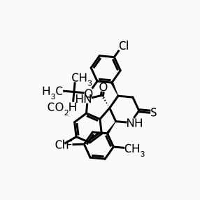 Cc1ccc(F)cc1[C@@H]1NC(=S)C[C@H](c2cc(Cl)ccc2OC(C)(C)C(=O)O)[C@@]12C(=O)Nc1cc(Cl)ccc12